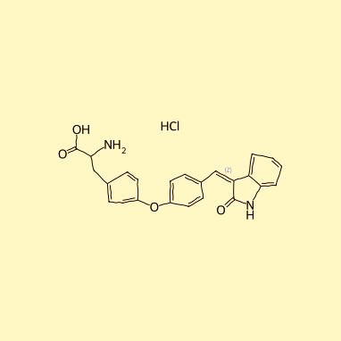 Cl.NC(Cc1ccc(Oc2ccc(/C=C3\C(=O)Nc4ccccc43)cc2)cc1)C(=O)O